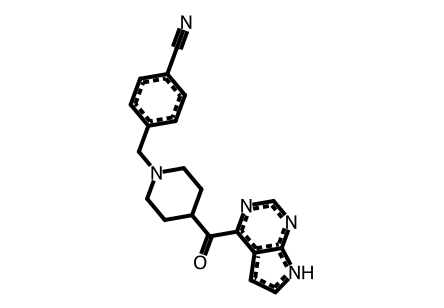 N#Cc1ccc(CN2CCC(C(=O)c3ncnc4[nH]ccc34)CC2)cc1